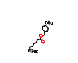 CCCCCCCCCCCCCCCC(=O)OCc1ccc(CCCC)cc1